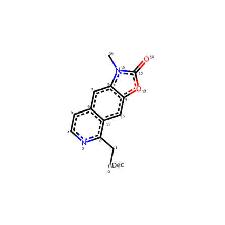 CCCCCCCCCCCc1nccc2cc3c(cc12)oc(=O)n3C